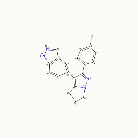 Fc1ccc(-c2nn3c(c2-c2ccc4[nH]ncc4c2)CCC3)cc1